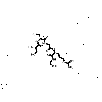 N=C(N)NCCC[C@H](NC(=O)CNC(=O)[C@H](CC(=O)O)NC(=O)[C@@H](N)CO)C(=O)NCC(=O)O